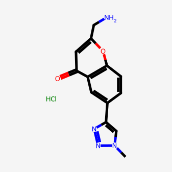 Cl.Cn1cc(-c2ccc3oc(CN)cc(=O)c3c2)nn1